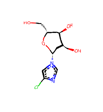 OC[C@H]1O[C@@H](n2cnc(Cl)c2)[C@H](O)[C@@H]1O